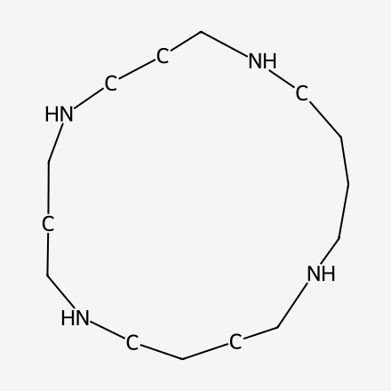 C1CCNCCCNCCCNCCCCNC1